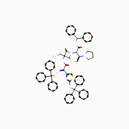 O=COCC1(NC(=O)C(=NOC(c2ccccc2)(c2ccccc2)c2ccccc2)c2csc(NC(c3ccccc3)(c3ccccc3)c3ccccc3)n2)C(=O)N2C(C(=O)OC(c3ccccc3)c3ccccc3)C(N3CCCC3)=CS[C@H]21